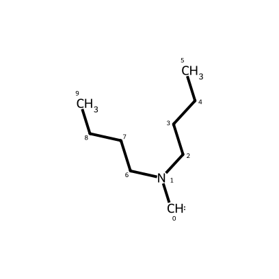 [CH]N(CCCC)CCCC